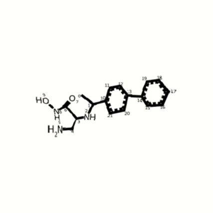 CC(N[C@@H](CN)C(=O)NO)c1ccc(-c2ccccc2)cc1